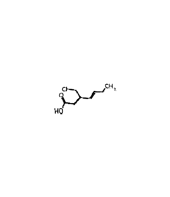 CCC=CC(CCl)CC(=O)O